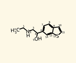 CCNCC(O)c1ccc2ccsc2c1